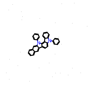 c1ccc(-n2c3ccccc3c3c2ccc2c4cc5ccccc5cc4n(-c4ccccc4)c23)cc1